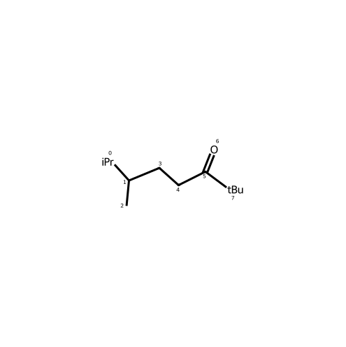 CC(C)C(C)CCC(=O)C(C)(C)C